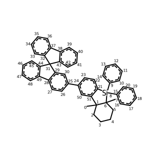 CC12CCCCC1(C)[Si](c1ccccc1)(c1ccccc1)c1ccc(-c3ccc4c(c3)C3(c5ccccc5-c5ccccc53)c3ccccc3-4)cc12